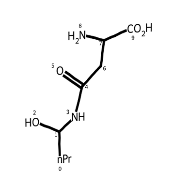 CCCC(O)NC(=O)CC(N)C(=O)O